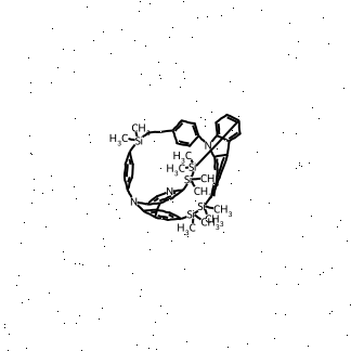 C[Si]1(C)Cc2ccc(cc2)-n2c3ccc4cc3c3cc(ccc32)[Si](C)(C)[Si](C)(C)c2cc3c5cc(ccc5n(c3cn2)-c2ccc1cc2)[Si](C)(C)[Si]4(C)C